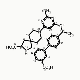 Nc1nc(O[C@H](c2ccc(-c3cccc(C(=O)O)c3)cc2)C(F)(F)F)cc(N2CCC3(CC2)CNC(C(=O)O)C3)n1